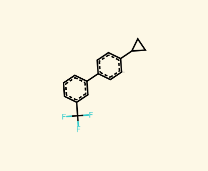 FC(F)(F)c1cccc(-c2c[c]c(C3CC3)cc2)c1